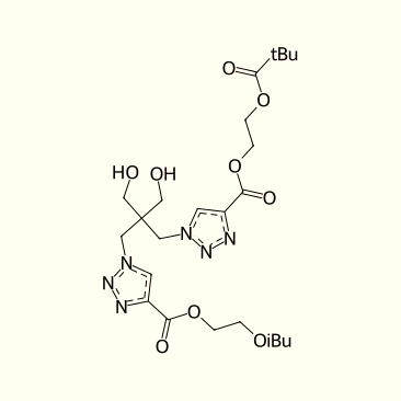 CC(C)COCCOC(=O)c1cn(CC(CO)(CO)Cn2cc(C(=O)OCCOC(=O)C(C)(C)C)nn2)nn1